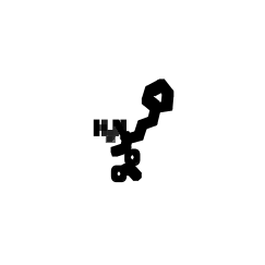 CC(=O)OC(C)C(N)CCCc1ccccc1